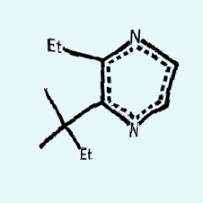 CCc1nccnc1C(C)(C)CC